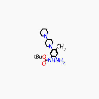 Cc1cc(N)c(NC(=O)OC(C)(C)C)cc1N1CCC(N2CCCCC2)CC1